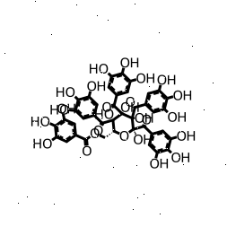 O=C(OC[C@H]1O[C@](O)(C(=O)c2cc(O)c(O)c(O)c2)[C@@](O)(C(=O)c2cc(O)c(O)c(O)c2)[C@](O)(C(=O)c2cc(O)c(O)c(O)c2)[C@@]1(O)C(=O)c1cc(O)c(O)c(O)c1)c1cc(O)c(O)c(O)c1